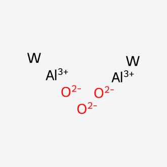 [Al+3].[Al+3].[O-2].[O-2].[O-2].[W].[W]